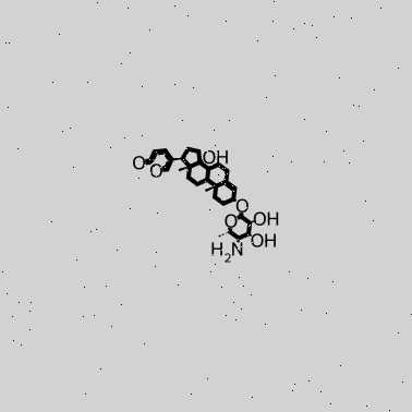 C[C@@H]1OC(O[C@@H]2C=C3CCC4C(CC[C@]5(C)[C@@H](c6ccc(=O)oc6)CC[C@]45O)[C@@]3(C)CC2)[C@H](O)[C@H](O)[C@H]1N